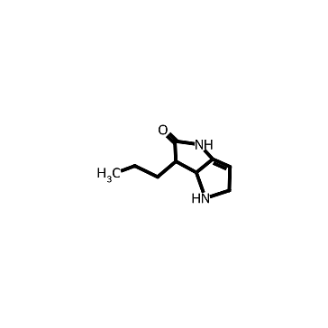 CCCC1C(=O)NC2=CCNC21